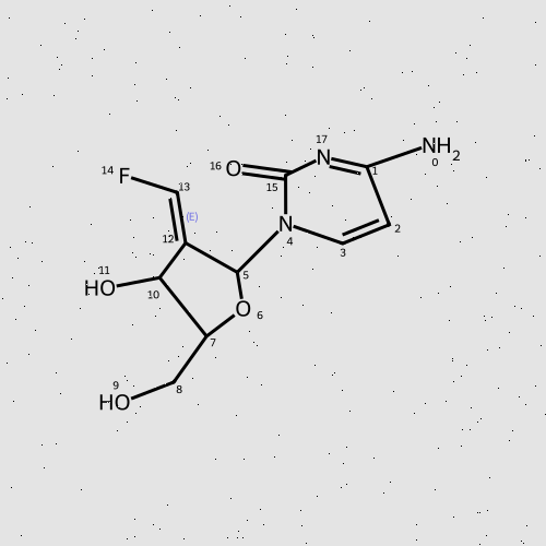 Nc1ccn(C2OC(CO)C(O)/C2=C\F)c(=O)n1